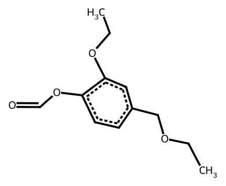 CCOCc1ccc(OC=O)c(OCC)c1